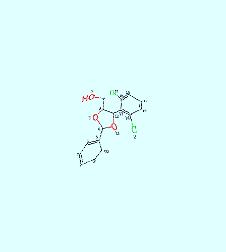 OCC1OC(C2=CC=CCC2)OC1c1c(Cl)cccc1Cl